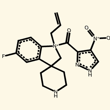 C=CC[N+]1(C(=O)c2n[nH]cc2[N+](=O)[O-])CC2(CCNCC2)c2cc(F)ccc21